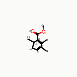 COC(=O)C1=C(C)C(C)=CCC1C